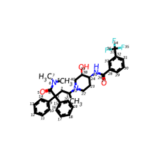 CC(CC(C(=O)N(C)C)(c1ccccc1)c1ccccc1)N1CC[C@H](NC(=O)c2cccc(C(F)(F)F)c2)[C@H](O)C1